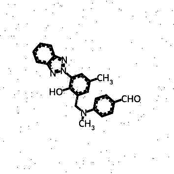 Cc1cc(CN(C)c2ccc(C=O)cc2)c(O)c(-n2nc3ccccc3n2)c1